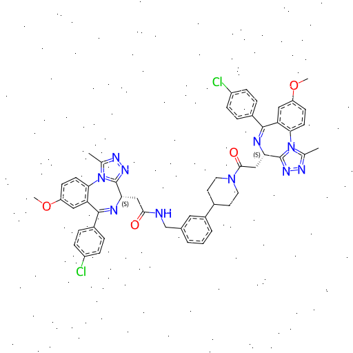 COc1ccc2c(c1)C(c1ccc(Cl)cc1)=N[C@@H](CC(=O)NCc1cccc(C3CCN(C(=O)C[C@@H]4N=C(c5ccc(Cl)cc5)c5cc(OC)ccc5-n5c(C)nnc54)CC3)c1)c1nnc(C)n1-2